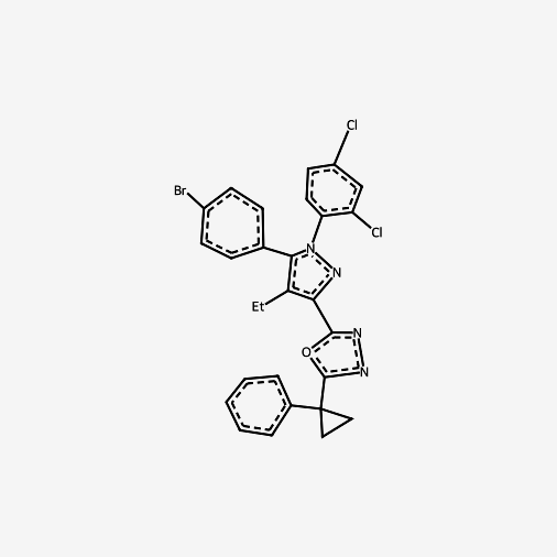 CCc1c(-c2nnc(C3(c4ccccc4)CC3)o2)nn(-c2ccc(Cl)cc2Cl)c1-c1ccc(Br)cc1